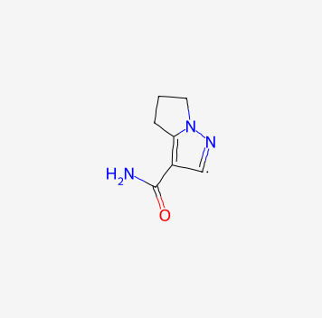 NC(=O)c1[c]nn2c1CCC2